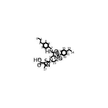 CCCc1ccc(CNC(=O)C2CN(c3nc(C)c(C(=O)O)s3)CCN2S(=O)(=O)c2ccc(CC)cc2)cc1